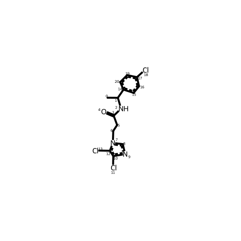 CC(NC(=O)CCn1cnc(Cl)c1Cl)c1ccc(Cl)cc1